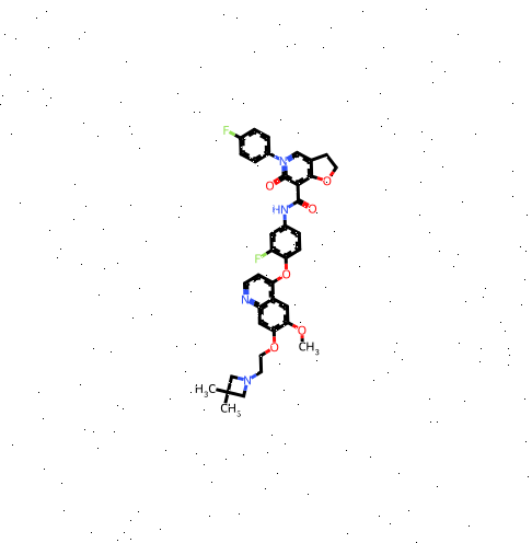 COc1cc2c(Oc3ccc(NC(=O)c4c5c(cn(-c6ccc(F)cc6)c4=O)CCO5)cc3F)ccnc2cc1OCCN1CC(C)(C)C1